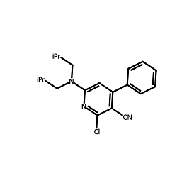 CC(C)CN(CC(C)C)c1cc(-c2ccccc2)c(C#N)c(Cl)n1